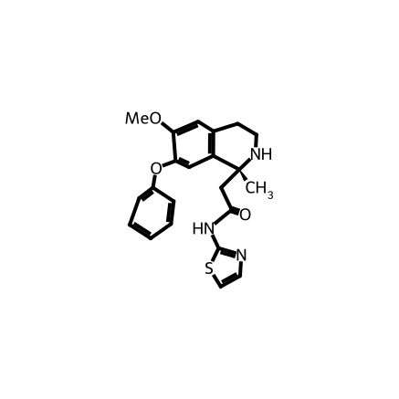 COc1cc2c(cc1Oc1ccccc1)[C@@](C)(CC(=O)Nc1nccs1)NCC2